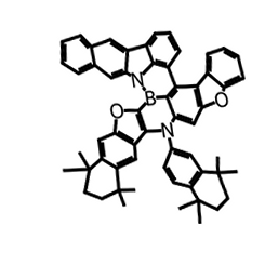 CC1(C)CCC(C)(C)c2cc(N3c4cc5oc6ccccc6c5c5c4B(c4oc6cc7c(cc6c43)C(C)(C)CCC7(C)C)n3c4cc6ccccc6cc4c4cccc-5c43)ccc21